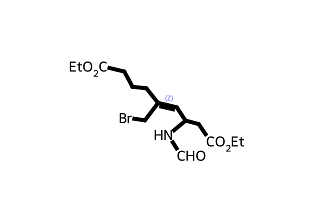 CCOC(=O)CCC/C(=C/C(CC(=O)OCC)NC=O)CBr